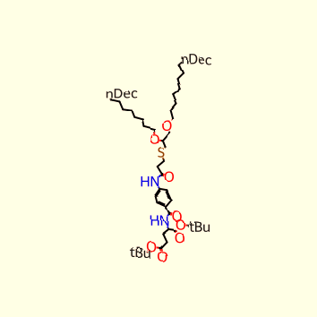 CCCCCCCCCCCCCCCCCCOCC(CSCCC(=O)Nc1ccc(C(=O)NC(CCC(=O)OC(C)(C)C)C(=O)OC(C)(C)C)cc1)OCCCCCCCCCCCCCCCCCC